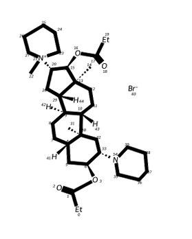 CCC(=O)O[C@H]1C[C@@H]2CC[C@@H]3[C@H](CC[C@]4(C)[C@H](OC(=O)CC)[C@@H]([N+]5(C)CCCCC5)C[C@@H]34)[C@@]2(C)C[C@@H]1N1CCCCC1.[Br-]